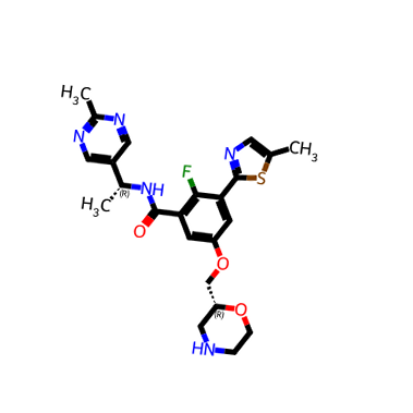 Cc1ncc([C@@H](C)NC(=O)c2cc(OC[C@H]3CNCCO3)cc(-c3ncc(C)s3)c2F)cn1